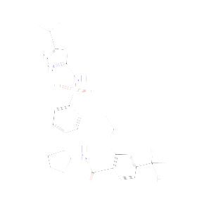 CCOc1cc(C(F)(F)F)ccc1C(=O)N[C@@H]1CCC[C@@H]1c1ccc(S(=O)(=O)Nc2nnc(C(C)C)s2)cc1